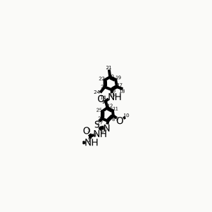 CNC(=O)Nc1nc2c(OC)cc(C(=O)Nc3c(C)cc(C)cc3C)cc2s1